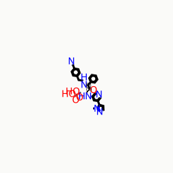 Cn1nccc1-c1cnc2c(c1)NC[C@@H]([C@H](NCCc1ccc(C#N)cc1)c1ccccc1)O2.O=CO.O=CO